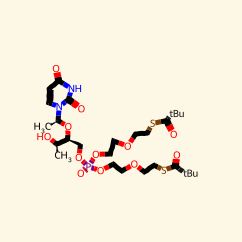 C[C@H](O)[C@H](COP(=O)(OCCOCCSC(=O)C(C)(C)C)OCCOCCSC(=O)C(C)(C)C)O[C@H](C)n1ccc(=O)[nH]c1=O